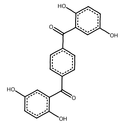 O=C(c1ccc(C(=O)c2cc(O)ccc2O)cc1)c1cc(O)ccc1O